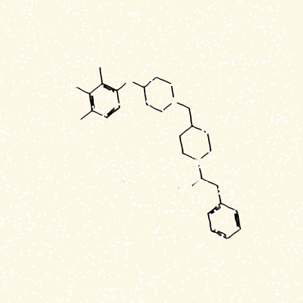 Cc1c(OC2CCN(CC3CCN([C@@H](Cc4ccccc4)C(=O)O)CC3)CC2)ccc(Cl)c1Cl.[NaH]